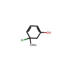 COC1(Br)C=CC=C(O)C1